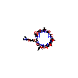 C/C=C/C[C@@H](C)[C@@H](O)[C@H]1C(=O)N[C@@H](CC)C(=O)N(C)[C@H](CSCCCCOCCN(CC)CC)C(=O)CN(C)[C@@H](CC(C)(C)O)C(=O)N[C@@H](C(C)C)C(=O)N(C)[C@@H](CC(C)C)C(=O)N[C@@H](C)C(=O)N[C@H](C)C(=O)N(C)[C@@H](CC(C)C)C(=O)N(C)[C@@H](CC(C)C)C(=O)N(C)[C@@H](C(C)C)C(=O)N1C